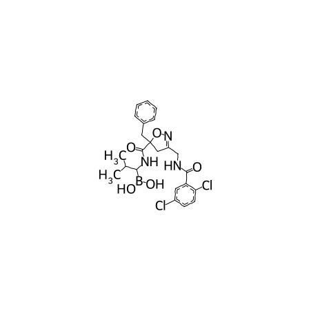 CC(C)C(NC(=O)C1(Cc2ccccc2)CC(CNC(=O)c2cc(Cl)ccc2Cl)=NO1)B(O)O